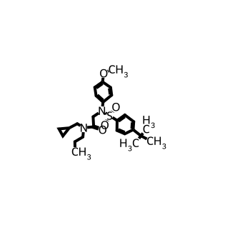 CCCN(CC1CC1)C(=O)CN(c1ccc(OC)cc1)S(=O)(=O)c1ccc(C(C)(C)C)cc1